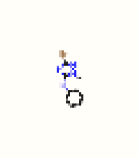 Cn1nc(Br)nc1Nc1ccccc1